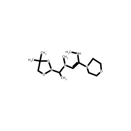 CN/C(=C\N(C)C(C)B1OCC(C)(C)O1)N1CCOCC1